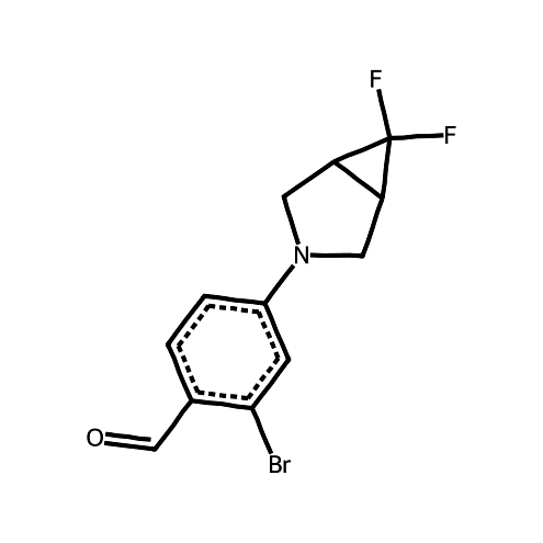 O=Cc1ccc(N2CC3C(C2)C3(F)F)cc1Br